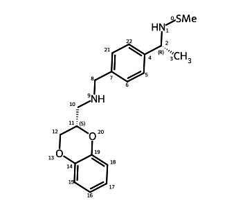 CSN[C@H](C)c1ccc(CNC[C@H]2COc3ccccc3O2)cc1